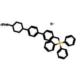 CCCCCC1CCC(c2ccc(-c3ccc(C[P+](c4ccccc4)(c4ccccc4)c4ccccc4)cc3)cc2)CC1.[Br-]